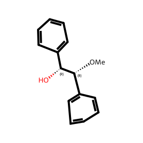 CO[C@H](c1ccccc1)[C@H](O)c1ccccc1